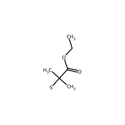 CCOC(=O)C(C)(C)[S]